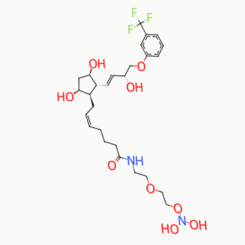 O=C(CCC/C=C\C[C@@H]1[C@@H](/C=C/[C@@H](O)COc2cccc(C(F)(F)F)c2)[C@H](O)C[C@@H]1O)NCCOCCON(O)O